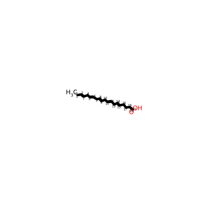 CC/C=C/C/C=C/C/C=C/C/C=C/C/C=C/CCCC(=O)O